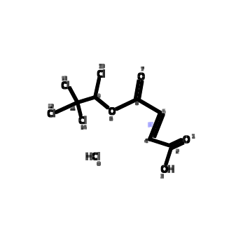 Cl.O=C(O)/C=C/C(=O)OC(Cl)C(Cl)(Cl)Cl